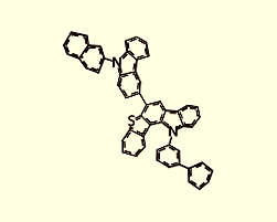 c1ccc(-c2cccc(-n3c4ccccc4c4cc(-c5ccc6c(c5)c5ccccc5n6-c5ccc6ccccc6c5)c5sc6ccccc6c5c43)c2)cc1